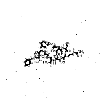 CC[C@H](C)[C@H](NC(=O)[C@@H](CCCNC(=N)N)NC(=O)[C@H](CC(C)C)NC(=O)[C@@H](NC(=O)OC(C)(C)C)[C@H](O)C(C)C)C(=O)N[C@H](C(=O)NCC(=O)N[C@@H](Cc1cccnc1)C(=O)N[C@@H](CO)C(=O)OCc1ccccc1)[C@H](C)O